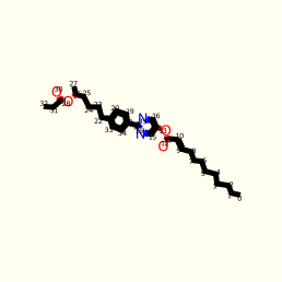 CCCCCCCCCC=CC(=O)Oc1cnc(-c2ccc(CCCCC(C)OC(=O)CC)cc2)nc1